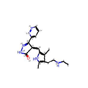 CCNCCc1c(C)[nH]c(C=C2C(=O)NN=C2c2cccnn2)c1C